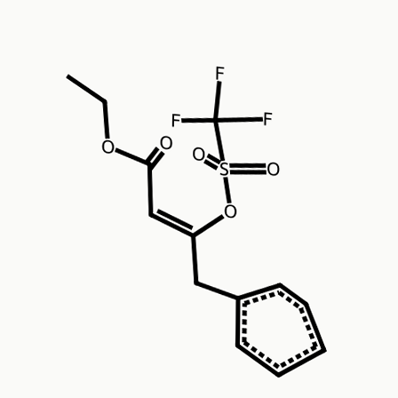 CCOC(=O)/C=C(/Cc1ccccc1)OS(=O)(=O)C(F)(F)F